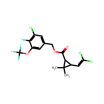 CC1(C)C(C=C(Cl)Cl)C1C(=O)OCc1cc(Cl)c(F)c(OC(F)(F)F)c1